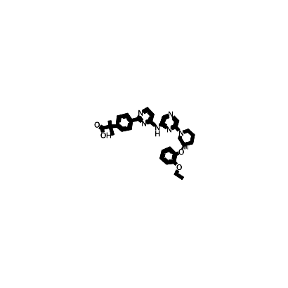 CCOc1ccccc1O[C@@H]1CCCN(c2cncc(Nc3ccnc(-c4ccc(C(C)(C)C(=O)O)cc4)n3)n2)C1